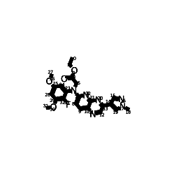 CCOC(=O)CN(c1ccc2ncc(-c3cnn(C)c3)nc2n1)c1cc(OC)cc(OC)c1F